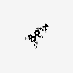 N#CC1(C[S+]([O-])Nc2ccc(-c3cc(NC=O)nc4[nH]ccc34)c(C=O)c2)CC1